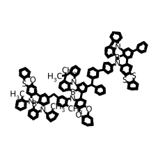 Cc1ccccc1N1B2c3ccccc3N(c3ccccc3C)c3cc(Cc4ccc(C)c(N5B6c7cccc8c7N(c7ccccc7C8(C)C)c7cc(C(c8ccccc8)c8cccc(-c9ccc(N%10B%11c%12c(cc(-c%13ccccc%13)cc%12-n%12c%13ccccc%13c%13cccc%11c%13%12)-c%11cc%12c(cc%11%10)Sc%10ccccc%10S%12)cc9)c8)cc(c76)-c6cc7c(cc65)Oc5ccccc5O7)c4)cc(c32)-c2cc3c(cc21)Sc1ccccc1O3